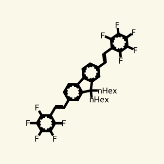 CCCCCCC1(CCCCCC)c2cc(/C=C/c3c(F)c(F)c(F)c(F)c3F)ccc2-c2ccc(/C=C/c3c(F)c(F)c(F)c(F)c3F)cc21